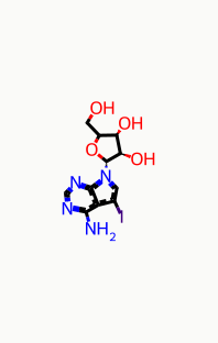 Nc1ncnc2c1c(I)cn2[C@@H]1OC(CO)[C@@H](O)[C@H]1O